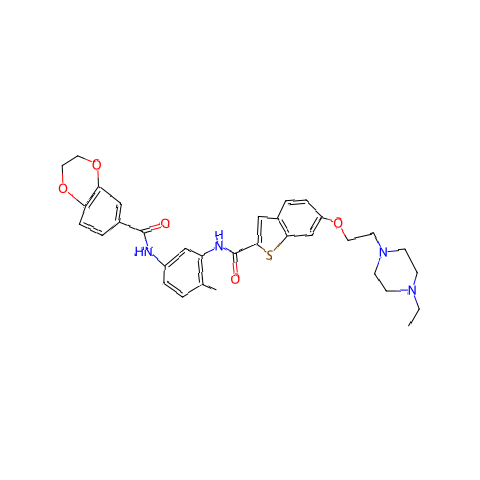 CCN1CCN(CCOc2ccc3cc(C(=O)Nc4cc(NC(=O)c5ccc6c(c5)OCCO6)ccc4C)sc3c2)CC1